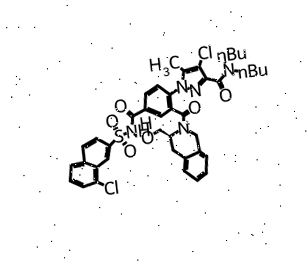 CCCCN(CCCC)C(=O)c1nn(-c2ccc(C(=O)NS(=O)(=O)c3ccc4cccc(Cl)c4c3)cc2C(=O)N2Cc3ccccc3C[C@H]2CO)c(C)c1Cl